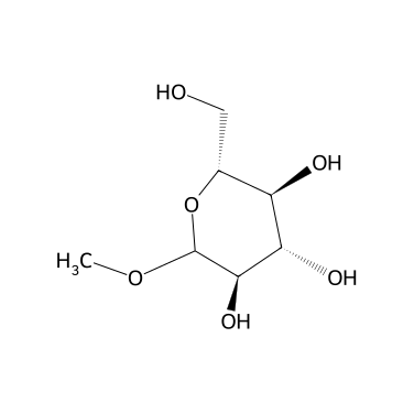 COC1O[C@H](CO)[C@@H](O)[C@H](O)[C@H]1O